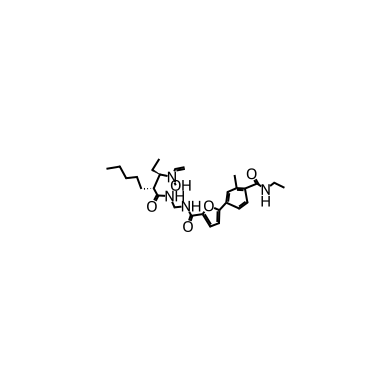 C=CN(O)[C@H](CC)[C@@H](CCCCC)C(=O)NCNC(=O)c1ccc(-c2ccc(C(=O)NCC)c(C)c2)o1